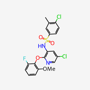 COc1cccc(F)c1Oc1ncc(Cl)cc1NS(=O)(=O)c1ccc(Cl)c(C)c1